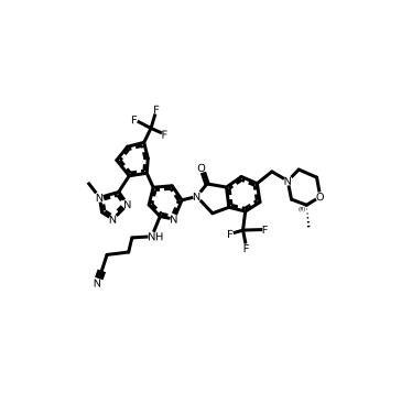 C[C@@H]1CN(Cc2cc3c(c(C(F)(F)F)c2)CN(c2cc(-c4cc(C(F)(F)F)ccc4-c4nncn4C)cc(NCCCC#N)n2)C3=O)CCO1